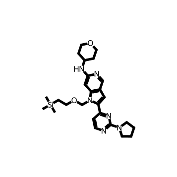 C[Si](C)(C)CCOCn1c(-c2ccnc(N3CCCC3)n2)cc2cnc(NC3CCOCC3)cc21